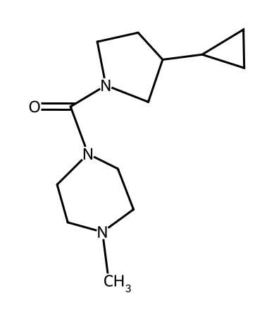 CN1CCN(C(=O)N2CCC(C3CC3)C2)CC1